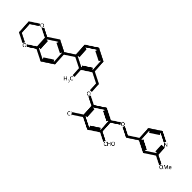 COc1cc(COc2cc(OCc3cccc(-c4ccc5c(c4)OCCO5)c3C)c(Cl)cc2C=O)ccn1